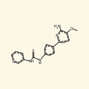 COc1cnc(-c2ccc(NC(=S)Nc3cccnc3)cc2)nc1N